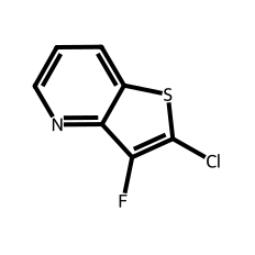 Fc1c(Cl)sc2cccnc12